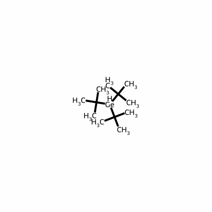 C[C](C)(C)[GeH]([C](C)(C)C)[C](C)(C)C